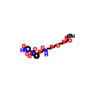 CC(C)(C)OC(=O)COCCOCCOCCNC(=O)COc1cccc2c1C(=O)N(C1CCC(=O)NC1=O)C2=O